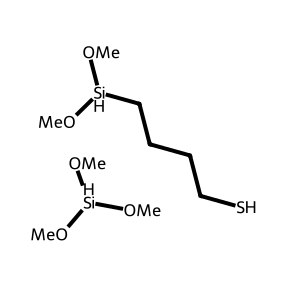 CO[SiH](CCCCS)OC.CO[SiH](OC)OC